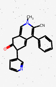 CN1C=C2CC(=O)C(c3cccnc3)C=C2C(c2ccccc2)=C1C#N